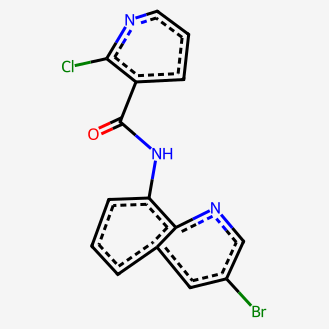 O=C(Nc1cccc2cc(Br)cnc12)c1cccnc1Cl